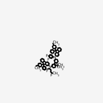 C=CC1=CCC(C2(c3ccccc3)C3C=CC=CC3C3C=CC(N(C4=CC5=C(CC4)[Si](C)(C)C4CCC(N(c6ccc(F)c(F)c6)C6C=CC7C8C=CC=CC8C(C8=CCC(C=C)CC8)(C8C=CC=CC8)C7C6)=CC54)/C(=C/C=C(\C)F)CF)=CC32)C=C1